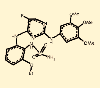 CCOc1cccc(Nc2nc(Nc3cc(OC)c(OC)c(OC)c3)ncc2F)c1NS(N)(=O)=O